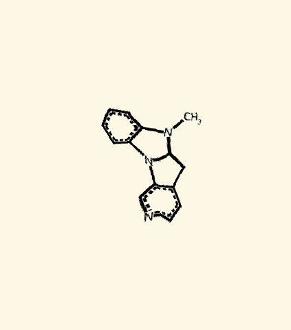 CN1c2ccccc2N2c3cnccc3CC12